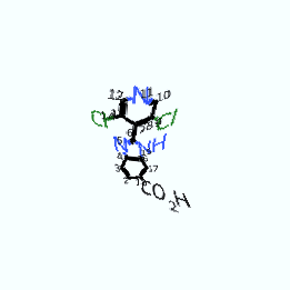 O=C(O)c1ccc2nc(-c3c(Cl)cncc3Cl)[nH]c2c1